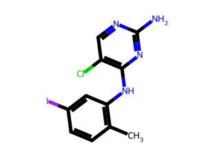 Cc1ccc(I)cc1Nc1nc(N)ncc1Cl